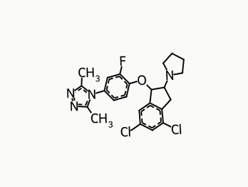 Cc1nnc(C)n1-c1ccc(OC2c3cc(Cl)cc(Cl)c3CC2N2CCCC2)c(F)c1